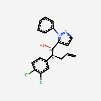 C=CC[C@@H](c1ccc(Cl)c(Cl)c1)[C@H](O)c1ccnn1-c1ccccc1